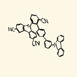 N#Cc1ccc2c(c1)c1cc(C#N)ccc1n2-c1cccc(C#N)c1-c1ccc(-c2cccc(-n3c4ccccc4c4ccccc43)c2)cc1